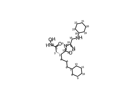 O=C(C[C@@H](CCCC1CCCCC1)c1nc(CNC2CCCCC2)no1)NO